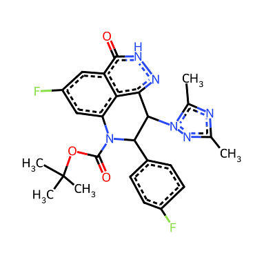 Cc1nc(C)n(C2c3n[nH]c(=O)c4cc(F)cc(c34)N(C(=O)OC(C)(C)C)C2c2ccc(F)cc2)n1